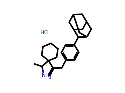 C=C(Cc1ccc(C2C3CC4CC(C3)CC2C4)cc1)C1(C(C)N)CCCCC1.Cl